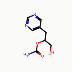 NC(=O)OC(CO)Cc1cncnc1